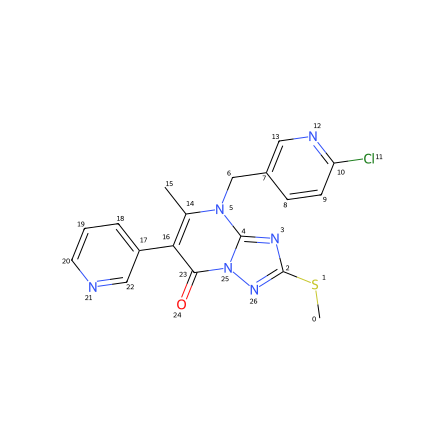 CSc1nc2n(Cc3ccc(Cl)nc3)c(C)c(-c3cccnc3)c(=O)n2n1